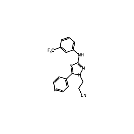 N#CCCn1nc(Nc2cccc(C(F)(F)F)c2)nc1-c1ccncc1